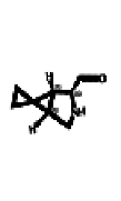 O=C[C@H]1NC[C@H]2[C@@H]1C21CC1